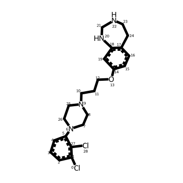 Clc1cccc(N2CCN(CCCOc3ccc4c(c3)NCNCC4)CC2)c1Cl